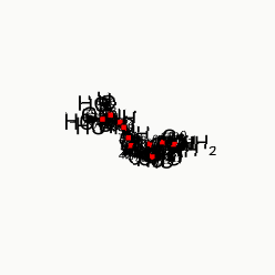 CC(C)C[C@H](NC(=O)[C@H](CC(=O)O)NC(=O)CN)C(=O)N[C@H](C(=O)N[C@H](C(=O)N[C@H](C(=O)N[C@@H](CO)C(=O)N[C@@H](CC(C)C)C(=O)N1CCC[C@H]1C(=O)NCC(=O)NCC(=O)N[C@@H](CCC(=O)O)C(=O)N[C@@H](CCC(=O)O)C(=O)O)C(C)C)[C@@H](C)O)C(C)C